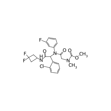 COC(=O)N(C)CC(=O)N(c1cccc(F)c1)C(C(=O)NC1CC(F)(F)C1)c1ccccc1Cl